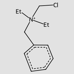 CC[N+](CC)(CCl)Cc1ccccc1